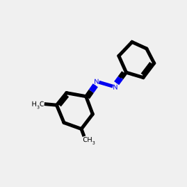 CC1=CC(=NN=C2C=CCCC2)CC(C)C1